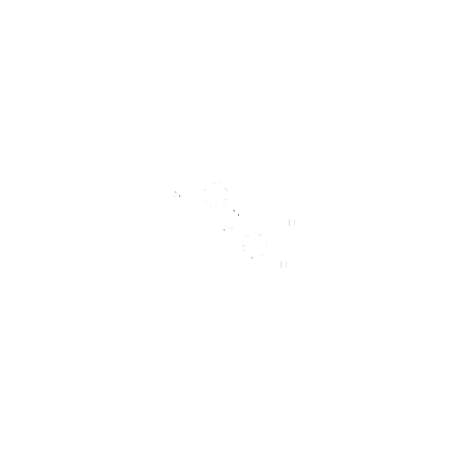 Cc1ccc(C(=O)Nc2ccc3c(c2)CN(C)CC3)cc1[S+](C)[O-]